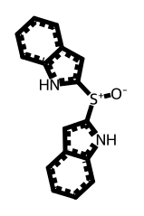 [O-][S+](c1cc2ccccc2[nH]1)c1cc2ccccc2[nH]1